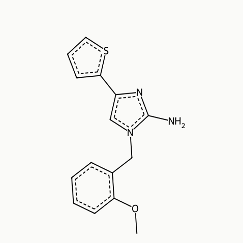 COc1ccccc1Cn1cc(-c2cccs2)nc1N